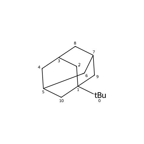 CC(C)(C)C12[CH]C3CC(CC(C3)C1)C2